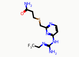 NC(=O)CCSCc1nccc(NC(N)=NCC(F)(F)F)n1